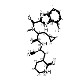 CN(C(=O)c1nc2cccc(Cl)c2[nH]1)C(CC1CC1)C(=O)N[C@H](C#N)CC1CCCNC1=O